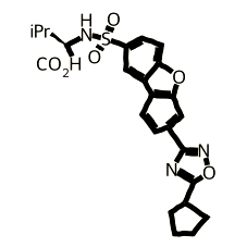 CC(C)[C@@H](NS(=O)(=O)c1ccc2oc3cc(-c4noc(C5CCCC5)n4)ccc3c2c1)C(=O)O